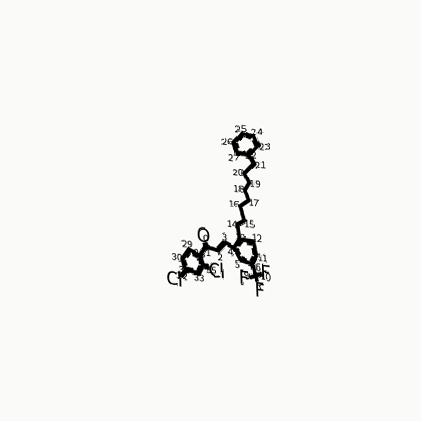 O=C(C=Cc1cc(C(F)(F)F)ccc1CCCCCCCCc1ccccc1)c1ccc(Cl)cc1Cl